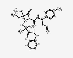 C=CC[C@@H](NC(=O)N1C(=O)C(CC)(CC)[C@@H]1OC(C)(C)C(=O)OCc1ccccc1)c1ccc(C)cc1